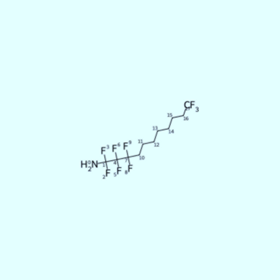 NC(F)(F)C(F)(F)C(F)(F)CCCCCCCC(F)(F)F